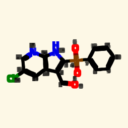 O=Cc1c(S(=O)(=O)c2ccccc2)[nH]c2ncc(Cl)cc12